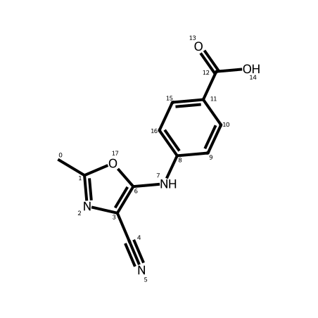 Cc1nc(C#N)c(Nc2ccc(C(=O)O)cc2)o1